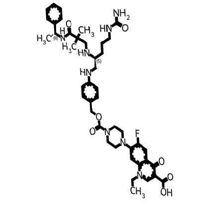 CCn1cc(C(=O)O)c(=O)c2cc(F)c(N3CCN(C(=O)OCc4ccc(NC[C@H](CCCNC(N)=O)NCC(C)(C)C(=O)N[C@H](C)c5ccccc5)cc4)CC3)cc21